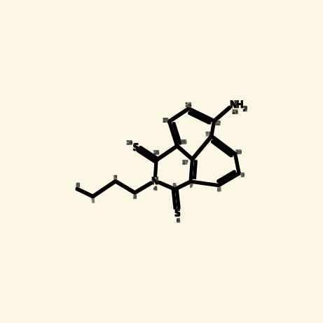 CCCCN1C(=S)c2cccc3c(N)ccc(c23)C1=S